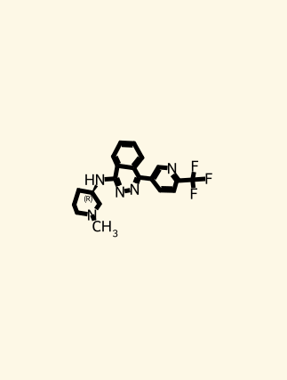 CN1CCC[C@@H](Nc2nnc(-c3ccc(C(F)(F)F)nc3)c3ccccc23)C1